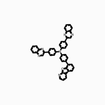 c1ccc2nc(-c3ccc(N(c4ccc(-c5cnc6ccccc6n5)cc4)c4ccc(-c5cccc6c5oc5ncccc56)cc4)cc3)cnc2c1